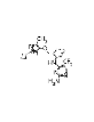 Cc1nn(C2CCC2)c(I)c1OC[C@@H]1COC[C@H]1Nc1nc(N)ncc1C(F)(F)F